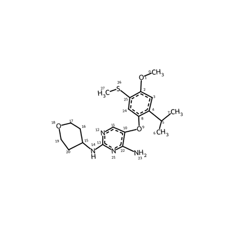 COc1cc(C(C)C)c(Oc2cnc(NC3CCOCC3)nc2N)cc1SC